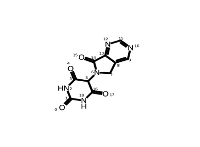 O=C1NC(=O)C(N2Cc3cncnc3C2=O)C(=O)N1